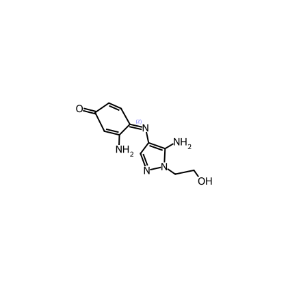 NC1=CC(=O)C=C/C1=N/c1cnn(CCO)c1N